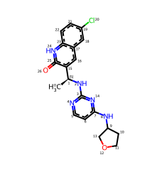 C[C@H](Nc1nccc(NC2CCOC2)n1)c1cc2cc(Cl)ccc2[nH]c1=O